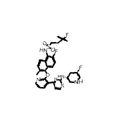 Cc1ccc2c(NS(=O)(=O)CCC(C)(C)F)c(F)ccc2c1Oc1ncccc1-c1ccnc(N[C@H]2CNC[C@H](F)C2)n1